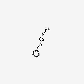 CCS[C@H]1C[C@@H](OCc2ccccc2)C1